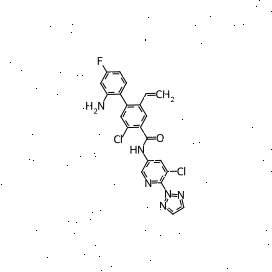 C=Cc1cc(C(=O)Nc2cnc(-n3nccn3)c(Cl)c2)c(Cl)cc1-c1ccc(F)cc1N